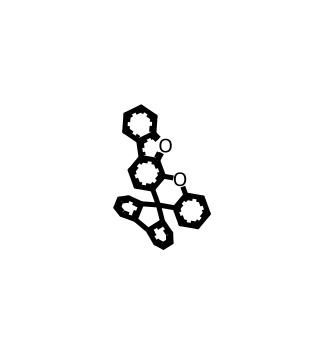 c1ccc2c(c1)Oc1c(ccc3c1oc1ccccc13)C21c2ccccc2-c2ccccc21